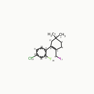 CC1(C)CCC(CI)=C(c2ccc(Cl)cc2F)C1